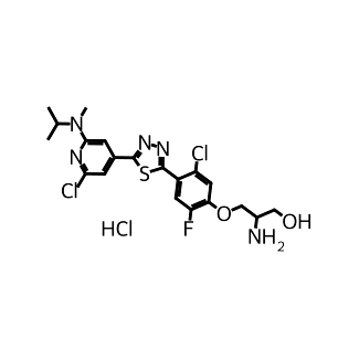 CC(C)N(C)c1cc(-c2nnc(-c3cc(F)c(OCC(N)CO)cc3Cl)s2)cc(Cl)n1.Cl